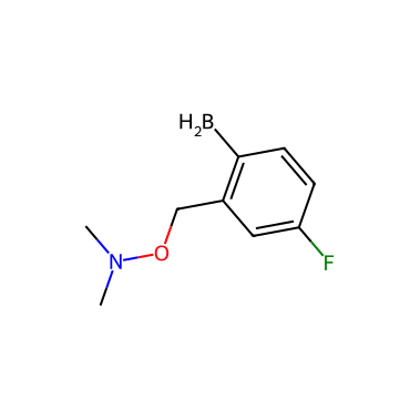 Bc1ccc(F)cc1CON(C)C